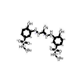 CCCCNS(=O)(=O)c1ccc(O)c(/N=N/C(C#N)=N/Nc2cc(S(=O)(=O)NCCCC)ccc2O)c1